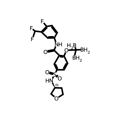 BC(B)(B)Oc1ccc(S(=O)(=O)N[C@H]2CCOC2)cc1C(=O)Nc1ccc(F)c(C(F)F)c1